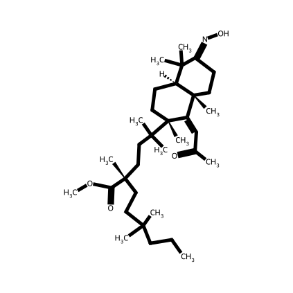 CCCC(C)(C)CC[C@@](C)(CCC(C)(C)[C@]1(C)CC[C@H]2C(C)(C)C(=NO)CC[C@]2(C)/C1=C/C(C)=O)C(=O)OC